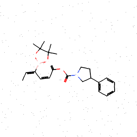 C=C(/C=C\C(=C/C)B1OC(C)(C)C(C)(C)O1)OC(=O)N1CCC(c2ccccc2)C1